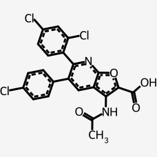 CC(=O)Nc1c(C(=O)O)oc2nc(-c3ccc(Cl)cc3Cl)c(-c3ccc(Cl)cc3)cc12